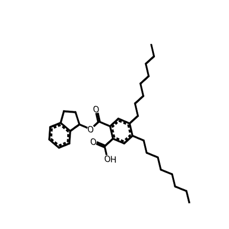 CCCCCCCCc1cc(C(=O)O)c(C(=O)OC2CCc3ccccc32)cc1CCCCCCCC